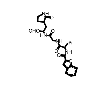 CC(C)C(NC(=O)c1cc2ccccc2o1)C(=O)NCC(=O)NC(C=O)CC1CCNC1=O